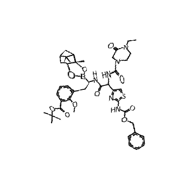 CCN1CCN(C(=O)NC(C(=O)N[C@@H](Cc2cccc(C(=O)OC(C)(C)C)c2OC)B2OC3CC4CC(C4(C)C)[C@]3(C)O2)c2csc(NC(=O)OCc3ccccc3)n2)CC1=O